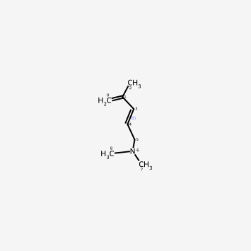 C=C(C)/C=C/CN(C)C